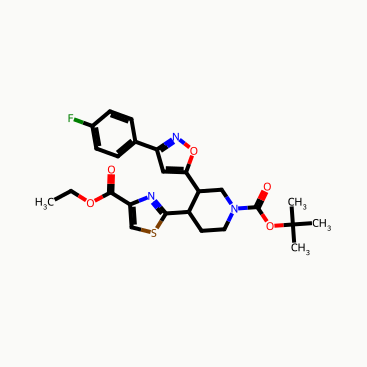 CCOC(=O)c1csc(C2CCN(C(=O)OC(C)(C)C)CC2c2cc(-c3ccc(F)cc3)no2)n1